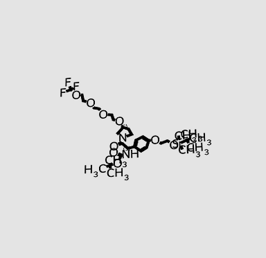 CC(C)(C)OC(=O)N[C@H](C(=O)N1CC[C@H](OCCOCCOCCOC(F)(F)F)C1)c1ccc(OCCO[Si](C)(C)C(C)(C)C)cc1